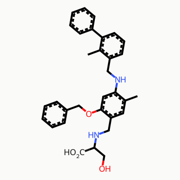 Cc1cc(CNC(CO)C(=O)O)c(OCc2ccccc2)cc1NCc1cccc(-c2ccccc2)c1C